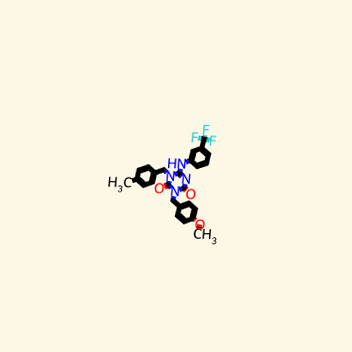 COc1ccc(Cn2c(=O)nc(Nc3cccc(C(F)(F)F)c3)n(Cc3ccc(C)cc3)c2=O)cc1